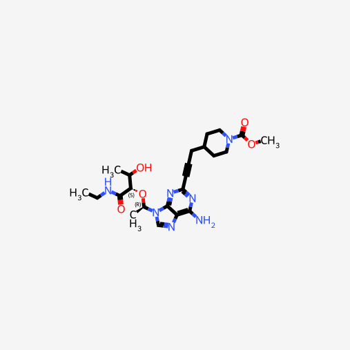 CCNC(=O)[C@@H](O[C@H](C)n1cnc2c(N)nc(C#CCC3CCN(C(=O)OC)CC3)nc21)C(C)O